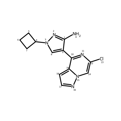 Nc1nn(C2CCC2)cc1-c1nc(Cl)cn2nccc12